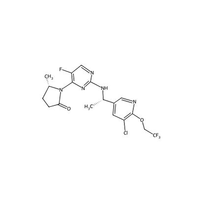 C[C@H](Nc1ncc(F)c(N2C(=O)CC[C@@H]2C)n1)c1cnc(OCC(F)(F)F)c(Cl)c1